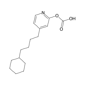 O=C(O)Oc1cc(CCCCC2CCCCC2)ccn1